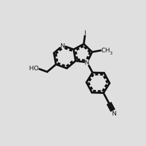 Cc1c(I)c2ncc(CO)cc2n1-c1ccc(C#N)cc1